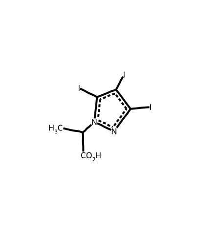 CC(C(=O)O)n1nc(I)c(I)c1I